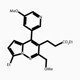 CCOC(=O)CCc1c(COC)nn2c(CC)ccc2c1-c1cncc(OC)c1